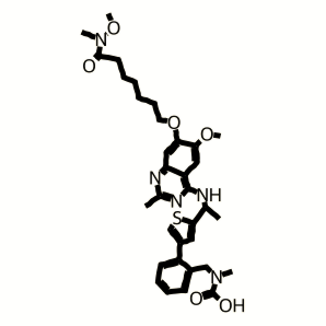 COc1cc2c(NC(C)c3cc(-c4ccccc4CN(C)C(=O)O)cs3)nc(C)nc2cc1OCCCCCCC(=O)N(C)OC